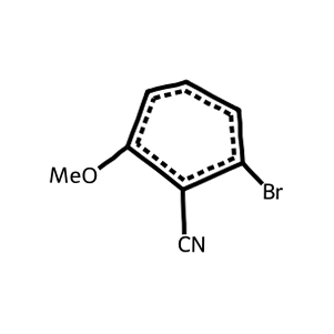 COc1cccc(Br)c1C#N